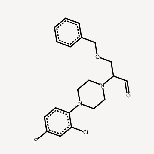 O=CC(COCc1ccccc1)N1CCN(c2ccc(F)cc2Cl)CC1